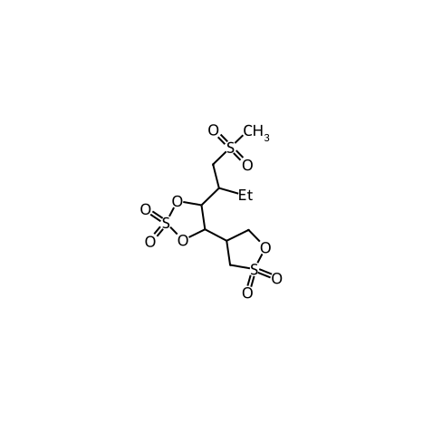 CCC(CS(C)(=O)=O)C1OS(=O)(=O)OC1C1COS(=O)(=O)C1